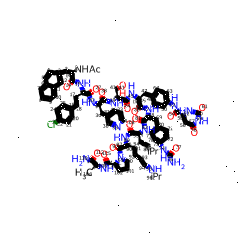 CC(=O)N[C@H](Cc1ccc2ccccc2c1)C(=O)N[C@H](CCc1ccc(Cl)cc1)C(=O)N[C@H](Cc1cccnc1)C(=O)N[C@@H](CO)C(=O)N[C@@H](Cc1ccc(NC(=O)[C@@H]2CC(=O)NC(=O)N2)cc1)C(=O)NC(Cc1ccc(NC(N)=O)cc1)C(=O)N[C@@H](CCC(C)C)C(=O)N[C@@H](CCCCNC(C)C)C(=O)N1CCC[C@H]1C(=O)N[C@H](C)C(N)=O